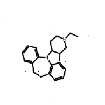 CCN1CCC2C(C1)c1cccc3c1N2c1ccccc1CC3